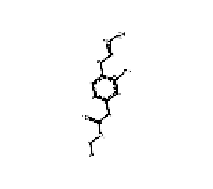 CCOC(=O)Cc1ccc(CC=NO)c(F)c1